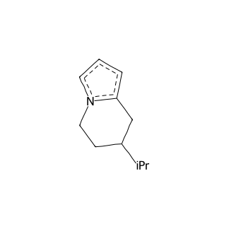 CC(C)C1CCn2cccc2C1